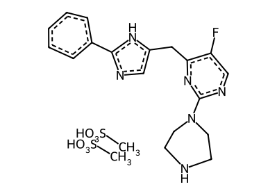 CS(=O)(=O)O.CS(=O)(=O)O.Fc1cnc(N2CCNCC2)nc1Cc1cnc(-c2ccccc2)[nH]1